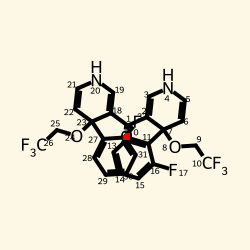 O=C(C1=CNC=CC1(OCC(F)(F)F)c1ccccc1F)C1=CNC=CC1(OCC(F)(F)F)c1ccccc1F